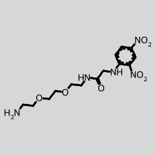 NCCOCCOCCNC(=O)CNc1ccc([N+](=O)[O-])cc1[N+](=O)[O-]